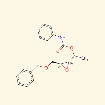 O=C(Nc1ccccc1)OC([C@@H]1O[C@H]1COCc1ccccc1)C(F)(F)F